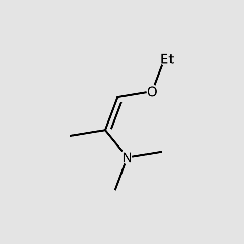 CCOC=C(C)N(C)C